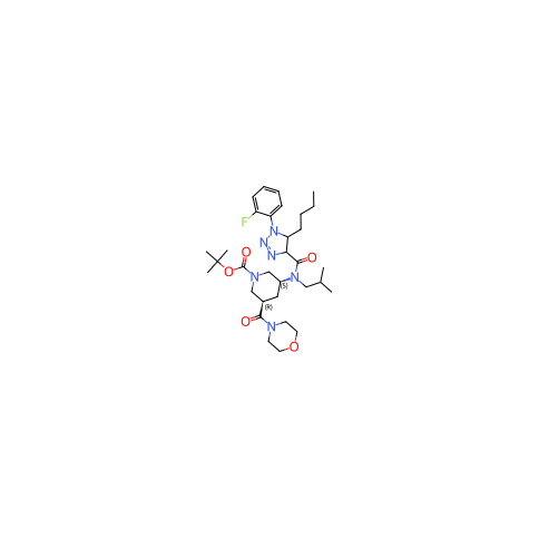 CCCCC1C(C(=O)N(CC(C)C)[C@H]2C[C@@H](C(=O)N3CCOCC3)CN(C(=O)OC(C)(C)C)C2)N=NN1c1ccccc1F